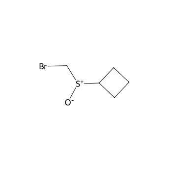 [O-][S+](CBr)C1CCC1